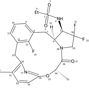 CCS(=O)(=O)N[C@@H]1[C@@H]2Cc3cccc(c3F)Cc3nc(ccc3C)O[C@@H](C)C(=O)N2CC1(F)F